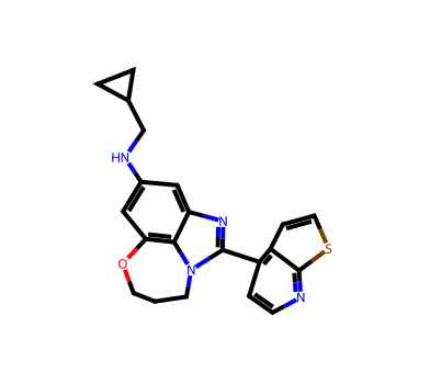 c1cc(-c2nc3cc(NCC4CC4)cc4c3n2CCCO4)c2ccsc2n1